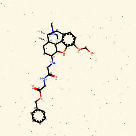 CN1CC[C@]23c4c5ccc(OCO)c4OC2C(NCC(=O)NCC(=O)OCc2ccccc2)CC[C@H]3[C@H]1C5